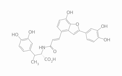 CC(c1ccc(O)c(O)c1)[C@H](NC(=O)/C=C/c1ccc(O)c2oc(-c3ccc(O)c(O)c3)cc12)C(=O)O